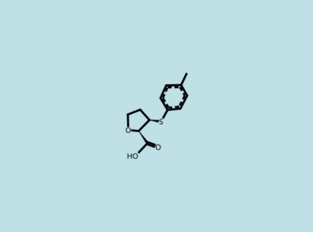 Cc1ccc(S[C@@H]2CCO[C@@H]2C(=O)O)cc1